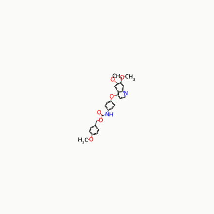 COc1ccc(COC(=O)Nc2ccc(Oc3ccnc4cc(OC)c(OC)cc34)cc2)cc1